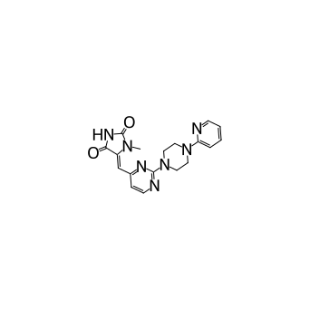 CN1C(=O)NC(=O)C1=Cc1ccnc(N2CCN(c3ccccn3)CC2)n1